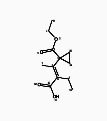 CCOC(=O)C1(/C(C)=C(\CC)C(=O)O)CC1